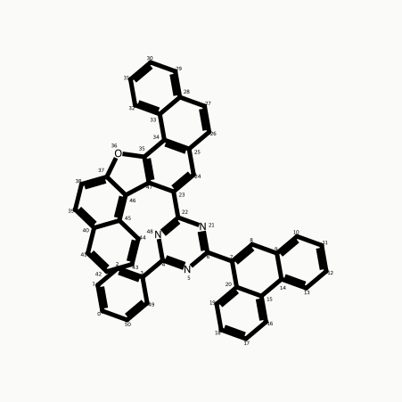 c1ccc(-c2nc(-c3cc4ccccc4c4ccccc34)nc(-c3cc4ccc5ccccc5c4c4oc5ccc6ccccc6c5c34)n2)cc1